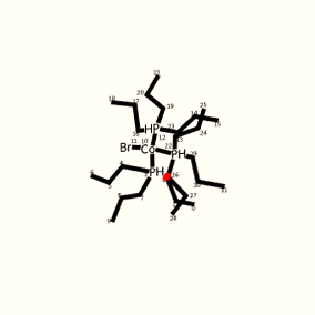 CCC[PH](CCC)(CCC)[Co]([Br])([PH](CCC)(CCC)CCC)[PH](CCC)(CCC)CCC